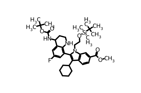 COC(=O)c1ccc2c(C3CCCCC3)c(-c3cc(F)cc4c3NCCC4NC(=O)OC(C)(C)C)n(CCO[Si](C)(C)C(C)(C)C)c2c1